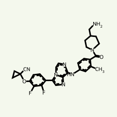 Cc1cc(Nc2nccn3c(-c4ccc(OC5(C#N)CC5)c(F)c4F)cnc23)ccc1C(=O)N1CCC(CN)CC1